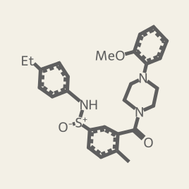 CCc1ccc(N[S+]([O-])c2ccc(C)c(C(=O)N3CCN(c4ccccc4OC)CC3)c2)cc1